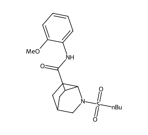 CCCCS(=O)(=O)N1CC2CCC1C(C(=O)Nc1ccccc1OC)C2